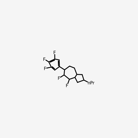 CCCC1CC2CCC(c3cc(F)c(F)c(F)c3)C(F)C(F)C2C1